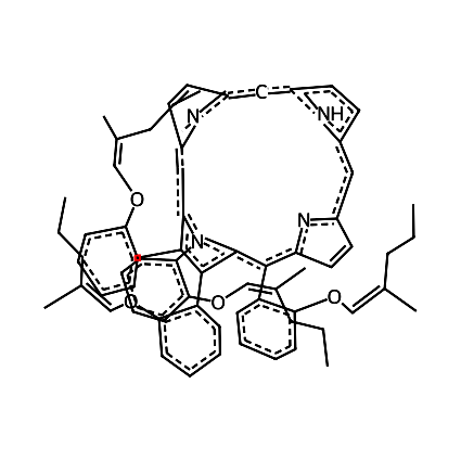 CCCC(C)=COc1ccccc1-c1c(-c2ccccc2OC=C(C)CCC)c2c(-c3ccccc3OC=C(C)CCC)c3nc(cc4ccc(cc5nc(cc1n2-c1ccccc1OC=C(C)CCC)C=C5)[nH]4)C=C3